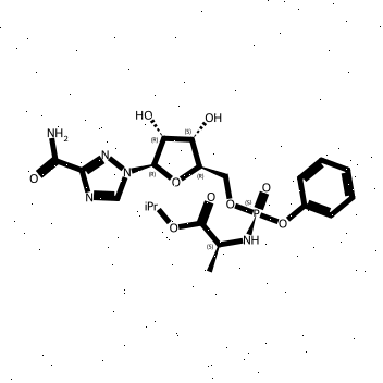 CC(C)OC(=O)[C@H](C)N[P@](=O)(OC[C@H]1O[C@@H](n2cnc(C(N)=O)n2)[C@H](O)[C@@H]1O)Oc1ccccc1